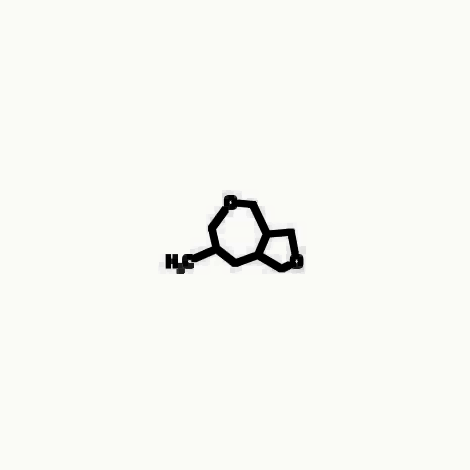 CC1COCC2COCC2C1